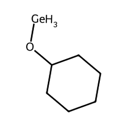 [GeH3][O]C1CCCCC1